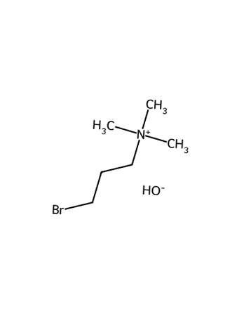 C[N+](C)(C)CCCBr.[OH-]